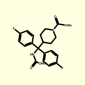 COC(=O)NC(c1ccc(F)cc1)(c1ccc(F)cc1)C1CCN(C(=O)OC)CC1